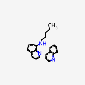 CCCCCNc1cccc2cccnc12.c1ccc2ncccc2c1